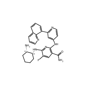 NC(=O)c1cc(F)c(N[C@@H]2CCCC[C@@H]2N)nc1Nc1ccnc(-c2cccc3cccnc23)c1